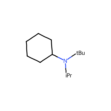 CC(C)N(C1CCCCC1)C(C)(C)C